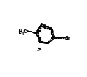 [CH2]c1ccc(Br)cc1.[Zn]